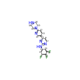 Fc1cc(Nc2nccc(-c3ccc(N4CCNCC4)nc3)n2)cc(F)c1F